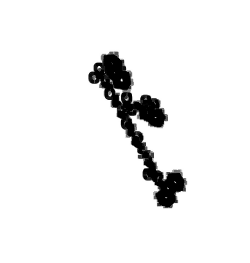 COC(=O)N(CCOCCN(CCOCCOCCSSCCC(=O)OCC1c2ccccc2-c2ccccc21)C(=O)OCC1=Cc2ccccc2S1(=O)=O)C1c2ccccc2-c2ccccc21